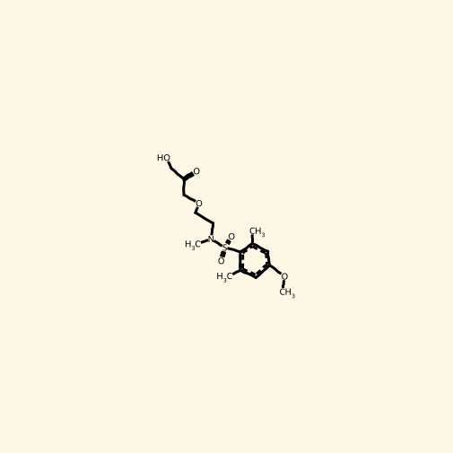 COc1cc(C)c(S(=O)(=O)N(C)CCOCC(=O)CO)c(C)c1